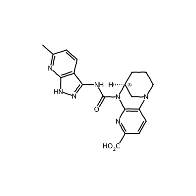 Cc1ccc2c(NC(=O)N3c4nc(C(=O)O)ccc4N4CCC[C@H]3C4)n[nH]c2n1